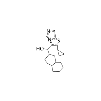 OC(c1c(C2CC2)sc2cncn12)C1CCC2CCCCC2C1